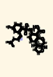 CN(C)C/C=C\c1cc(F)ccc1S(=O)(=O)Nc1ccc2c(c1C(=O)O)OC[C@H]1OCC[C@@H]21